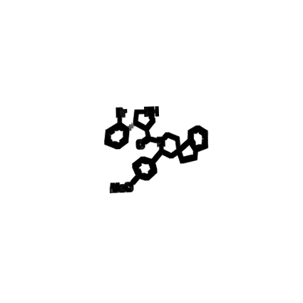 COc1ccc(C2CC3(C=Cc4ccccc43)CCN2C(=O)[C@@H]2CNC[C@H]2c2ccccc2Br)cc1